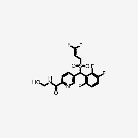 O=C(NCO)c1ccc(C(c2c(F)ccc(F)c2F)S(=O)(=O)CC=C(F)F)cn1